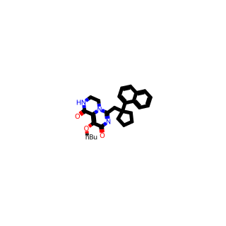 CCCCOc1c2n(c(CC3(c4cccc5ccccc45)CCCC3)nc1=O)CCNC2=O